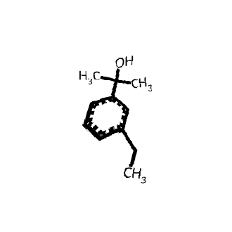 CCc1cccc(C(C)(C)O)c1